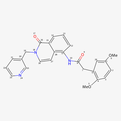 COc1ccc(OC)c(CC(=O)Nc2cccc3c(=O)n(Cc4cccnc4)ccc23)c1